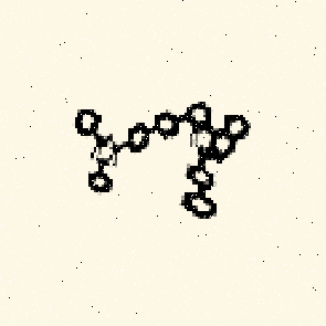 c1ccc(-c2ccc(-c3nc4c(-c5ccc(-c6ccc(-c7nc(-c8ccccc8)nc(-c8ccccc8)n7)cc6)cc5)cccc4c4c3ccc3ccccc34)cc2)cc1